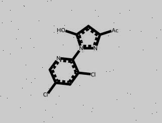 CC(=O)c1cc(O)n(-c2ncc(Cl)cc2Cl)n1